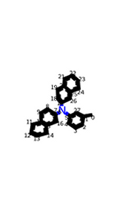 Cc1cccc(N(c2ccc3ccccc3c2)c2ccc3ccccc3c2)c1